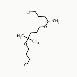 CC(CCCCl)OCCCC(C)(C)OCCCCl